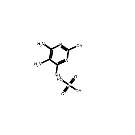 Nc1nc(O)nc(N)c1N.O=S(=O)(O)O